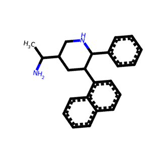 CC(N)C1CNC(c2ccccc2)C(c2cccc3ccccc23)C1